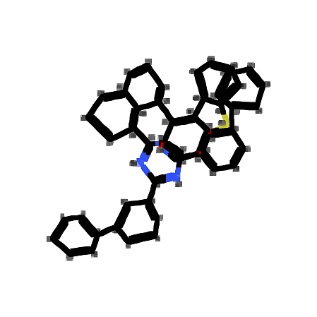 c1ccc(-c2cccc(-c3nc(-c4cccc(-c5ccccc5)c4)nc(-c4cccc5cccc(-c6cccc7sc8ccccc8c67)c45)n3)c2)cc1